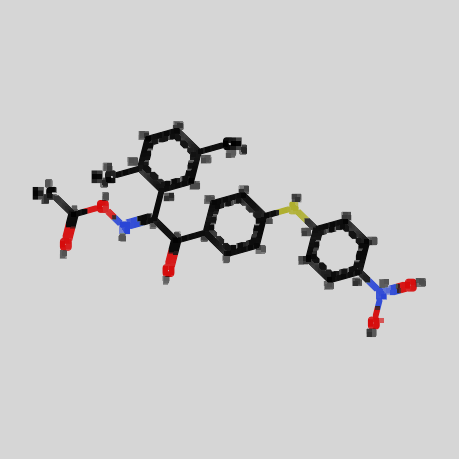 CC(=O)O/N=C(/C(=O)c1ccc(Sc2ccc([N+](=O)[O-])cc2)cc1)c1cc(C)ccc1C